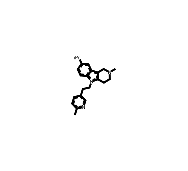 Cc1ccc(CCn2c3c(c4cc(C(C)C)ccc42)CN(C)CC3)cn1